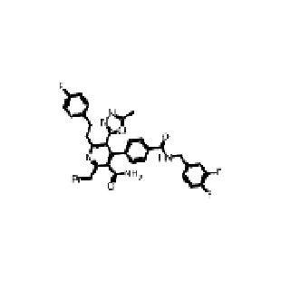 Cc1nnc(-c2c(CCc3ccc(F)cc3)nc(CC(C)C)c(C(N)=O)c2-c2ccc(C(=O)NCc3ccc(F)c(F)c3)cc2)o1